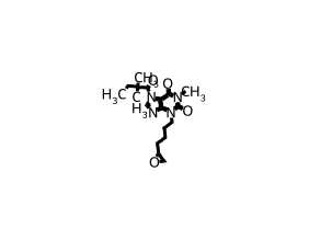 CCC(C)(C)C(=O)n1cnc2c1c(=O)n(C)c(=O)n2CCCCC1CO1